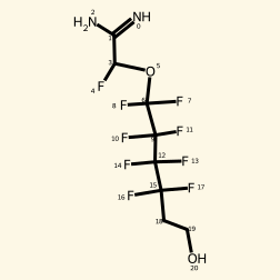 N=C(N)C(F)OC(F)(F)C(F)(F)C(F)(F)C(F)(F)CCO